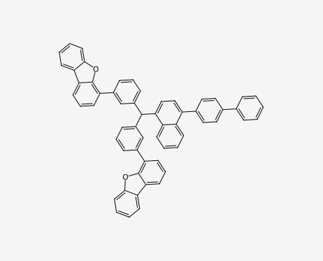 c1ccc(-c2ccc(-c3ccc(C(c4cccc(-c5cccc6c5oc5ccccc56)c4)c4cccc(-c5cccc6c5oc5ccccc56)c4)c4ccccc34)cc2)cc1